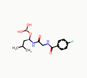 CC(C)C[C@H](NC(=O)CNC(=O)c1ccc(F)cc1)OB(O)O